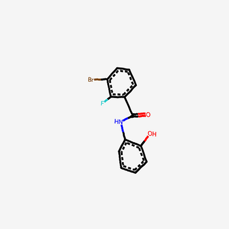 O=C(Nc1ccccc1O)c1cccc(Br)c1F